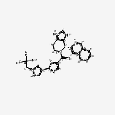 O=C(c1cnc(-c2cnn(CC(F)(F)F)c2)s1)N1CCc2[nH]cnc2[C@@H]1c1cc2ccccc2cn1